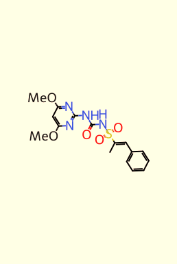 COc1cc(OC)nc(NC(=O)NS(=O)(=O)C(C)=Cc2ccccc2)n1